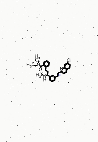 CCN(CC)C(=O)c1ccccc1CCC(NC)c1cccc(/C=C/c2ccc3ccc(Cl)cc3n2)c1